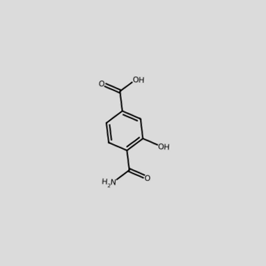 NC(=O)c1ccc(C(=O)O)cc1O